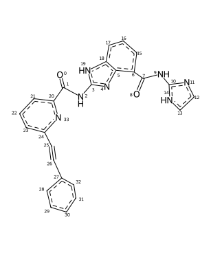 O=C(Nc1nc2c(C(=O)Nc3ncc[nH]3)cccc2[nH]1)c1cccc(C#Cc2ccccc2)n1